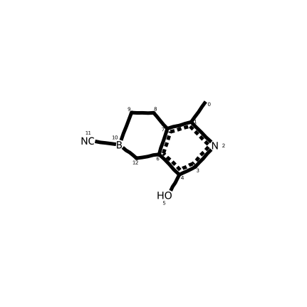 Cc1ncc(O)c2c1CCB(C#N)C2